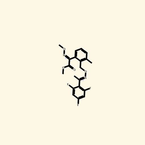 CO/N=C(/C(=O)OC)c1cccc(C)c1CO/N=C(\C)c1c(F)cc(F)cc1F